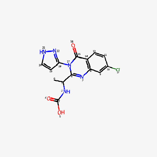 CC(NC(=O)O)c1nc2cc(Cl)ccc2c(=O)n1-c1cc[nH]n1